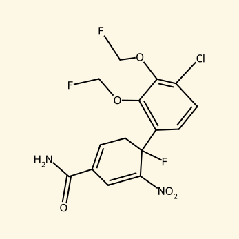 NC(=O)C1=CCC(F)(c2ccc(Cl)c(OCF)c2OCF)C([N+](=O)[O-])=C1